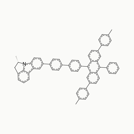 Cc1ccc(-c2ccc3c(-c4ccc(-c5ccc(-c6ccc7c(c6)c6cccc8c6n7[C@@H](C)C8)cc5)cc4)c4cc(-c5ccc(C)cc5)ccc4c(-c4ccccc4)c3c2)cc1